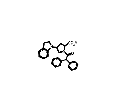 O=C(O)C1CC(N2CCc3ccccc32)CN1C(=O)C(c1ccccc1)c1ccccc1